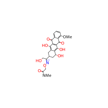 CNC(=O)CO/N=C(\CO)C1Cc2c(O)c3c(c(O)c2C(O)C1)C(=O)c1c(OC)cccc1C3=O